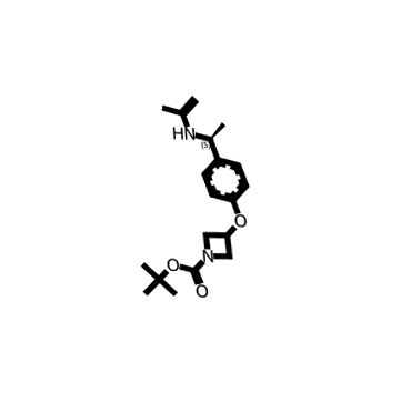 C=C(C)N[C@@H](C)c1ccc(OC2CN(C(=O)OC(C)(C)C)C2)cc1